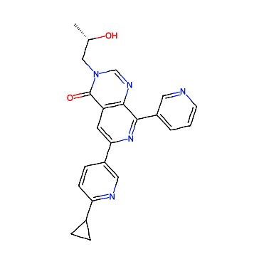 C[C@H](O)Cn1cnc2c(-c3cccnc3)nc(-c3ccc(C4CC4)nc3)cc2c1=O